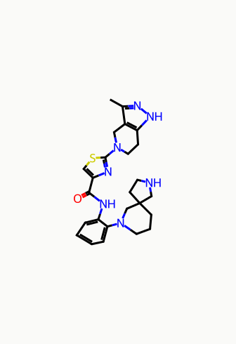 Cc1n[nH]c2c1CN(c1nc(C(=O)Nc3ccccc3N3CCCC4(CCNC4)C3)cs1)CC2